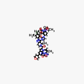 CCP(=O)(CC)c1ccc(-n2ccn(-c3c4c(nn3-c3cc(C)c(F)c(C)c3)CCN(C(=O)c3cc5cc(C6CCOCC6)ccc5n3[C@H]3C[C@]3(C)c3noc(=O)[nH]3)[C@H]4C)c2=O)cc1NS(C)(=O)=O